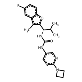 Cc1c([C@@H](NC(=O)Nc2cnc(N3CCC3)nc2)C(C)C)oc2ccc(F)cc12